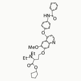 CCN(CC)C(CCOc1cc2nccc(Oc3ccc(NC(=O)c4ccccc4)cc3)c2cc1OC)C(=O)OC1CCCC1